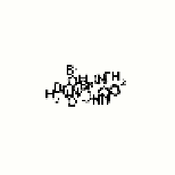 CN(C)c1cc(NC2CCC(N(C(N)=O)c3c(Br)cc(Br)cc3Br)CC2)nc2ccccc12